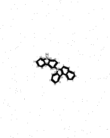 c1ccc2c(c1)ccc1c2c2ccccc2n1-c1ccc2[nH]c3ccccc3c2c1